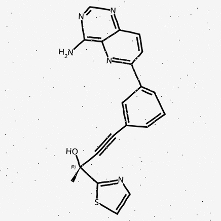 C[C@@](O)(C#Cc1cccc(-c2ccc3ncnc(N)c3n2)c1)c1nccs1